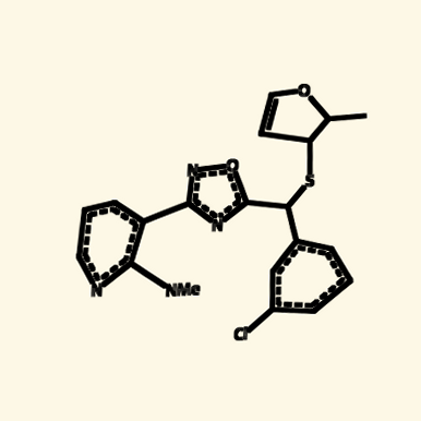 CNc1ncccc1-c1noc(C(SC2C=COC2C)c2cccc(Cl)c2)n1